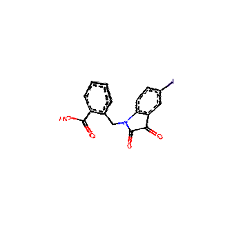 O=C(O)c1ccccc1CN1C(=O)C(=O)c2cc(I)ccc21